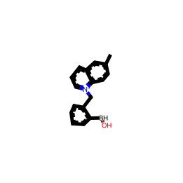 Cc1ccc2c(ccc[n+]2Cc2ccccc2BO)c1